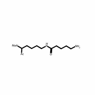 CNC(CCCCNC(=O)CCCCN)C(C)=O